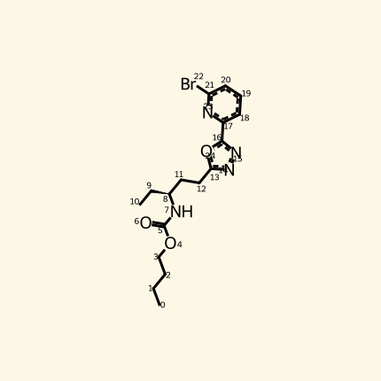 CCCCOC(=O)N[C@@H](CC)CCc1nnc(-c2cccc(Br)n2)o1